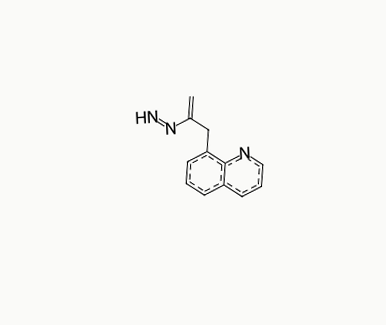 C=C(Cc1cccc2cccnc12)N=N